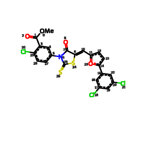 COC(=O)c1cc(N2C(=O)/C(=C/c3ccc(-c4cc(Cl)cc(Cl)c4)o3)SC2=S)ccc1Cl